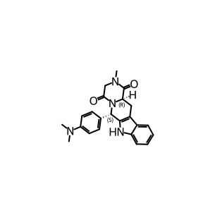 CN1CC(=O)N2[C@@H](c3ccc(N(C)C)cc3)c3[nH]c4ccccc4c3C[C@@H]2C1=O